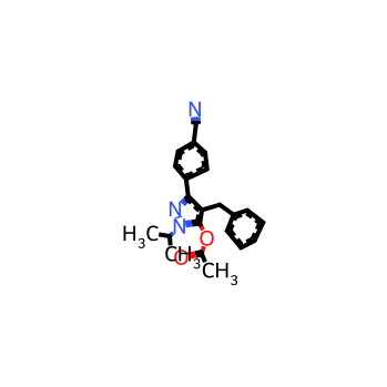 CC(=O)Oc1c(Cc2ccccc2)c(-c2ccc(C#N)cc2)nn1C(C)C